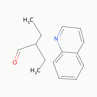 CCC(C=O)CC.c1ccc2ncccc2c1